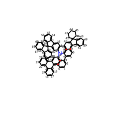 c1ccc(-c2ccccc2N(c2ccc3c4ccccc4c4ccccc4c3c2)c2cc3c(cc2-c2ccc4c(c2)C2(CCCCC2)c2ccccc2-4)-c2ccccc2C32c3ccccc3-c3ccccc32)cc1